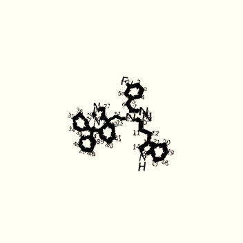 Fc1cccc(Cc2nnc(CCc3c[nH]c4ccccc34)n2CCCc2cncn2C(c2ccccc2)(c2ccccc2)c2ccccc2)c1